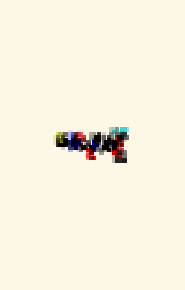 CCOc1cc(CN(C(=O)CCc2nc(-c3ccsc3)no2)C2CC2)ccc1OC(F)F